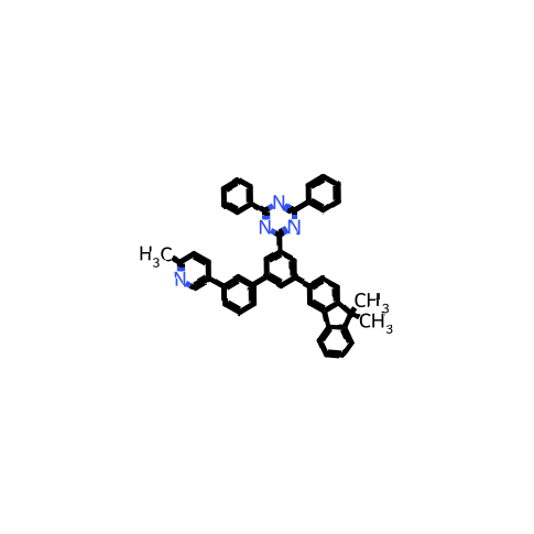 Cc1ccc(-c2cccc(-c3cc(-c4ccc5c(c4)-c4ccccc4C5(C)C)cc(-c4nc(-c5ccccc5)nc(-c5ccccc5)n4)c3)c2)cn1